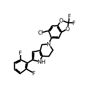 Fc1cccc(F)c1-c1cc2c([nH]1)CCN(c1cc3c(cc1Cl)OC(F)(F)O3)C2